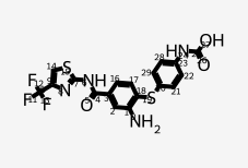 Nc1cc(C(=O)Nc2nc(C(F)(F)F)cs2)ccc1Sc1ccc(NC(=O)O)cc1